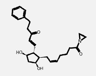 O=C(/C=C/[C@@H]1[C@@H](C/C=C\CCCC(=O)N2CC2)[C@@H](O)C[C@H]1O)CCc1ccccc1